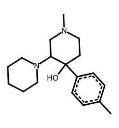 Cc1ccc(C2(O)CCN(C)CC2N2CCCCC2)cc1